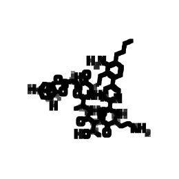 CCCCc1ccc(-c2cnc(C(=O)N[C@@H](CCN)C(=O)N[C@H](C(=O)N[C@@H](C)C(=O)N[C@@H](CCCCN)C(=O)N[C@@H](C)B3OC4C[C@@H]5C[C@@H](C5(C)C)[C@]4(C)O3)[C@@H](C)O)nc2)cc1